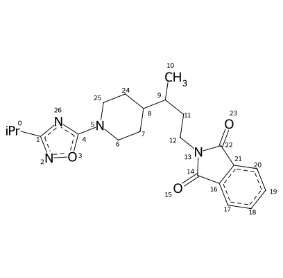 CC(C)c1noc(N2CCC(C(C)CCN3C(=O)c4ccccc4C3=O)CC2)n1